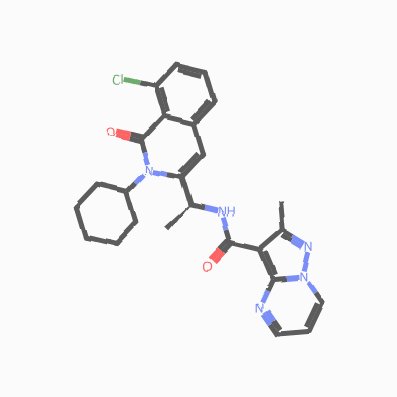 Cc1nn2cccnc2c1C(=O)N[C@@H](C)c1cc2cccc(Cl)c2c(=O)n1C1CCCCC1